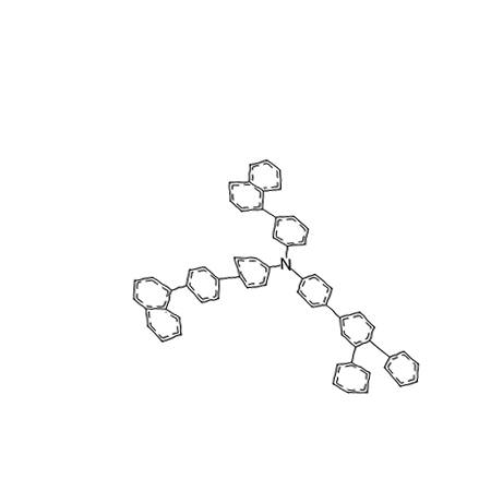 c1ccc(-c2ccc(-c3ccc(N(c4ccc(-c5ccc(-c6cccc7ccccc67)cc5)cc4)c4cccc(-c5cccc6ccccc56)c4)cc3)cc2-c2ccccc2)cc1